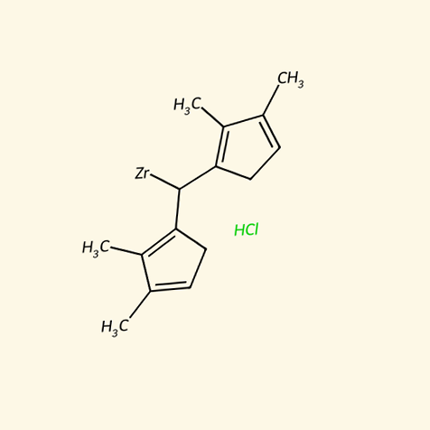 CC1=CCC([CH]([Zr])C2=C(C)C(C)=CC2)=C1C.Cl